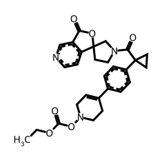 CCOC(=O)ON1CC=C(c2ccc(C3(C(=O)N4CCC5(C4)OC(=O)c4cnccc45)CC3)cc2)CC1